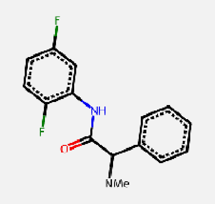 CNC(C(=O)Nc1cc(F)ccc1F)c1ccccc1